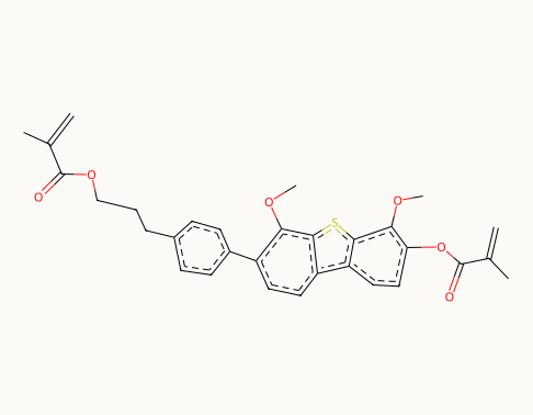 C=C(C)C(=O)OCCCc1ccc(-c2ccc3c(sc4c(OC)c(OC(=O)C(=C)C)ccc43)c2OC)cc1